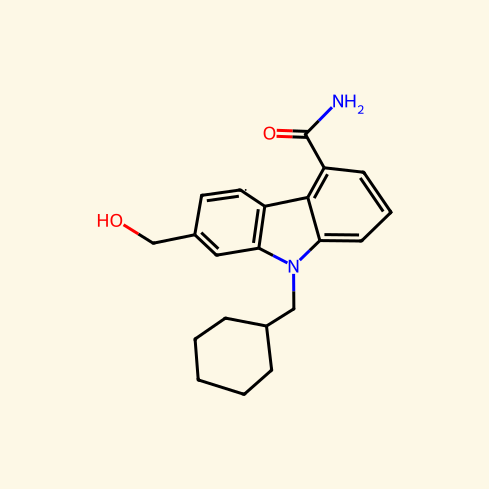 NC(=O)c1cccc2c1c1[c]cc(CO)cc1n2CC1CCCCC1